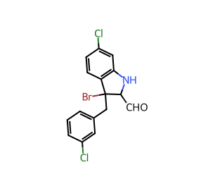 O=CC1Nc2cc(Cl)ccc2C1(Br)Cc1cccc(Cl)c1